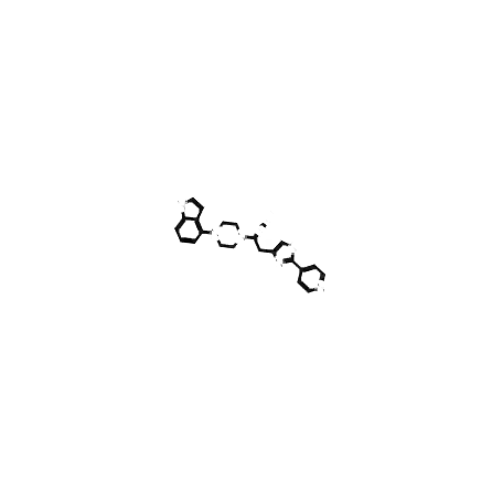 O=C=C(Cc1csc(-c2ccncc2)n1)N1CCN(c2cccc3[nH]ccc23)CC1